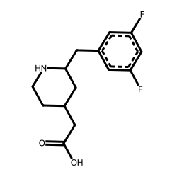 O=C(O)CC1CCNC(Cc2cc(F)cc(F)c2)C1